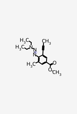 CC#Cc1cc(C(=O)OC)cc(C)c1/N=N/N(CC)CC